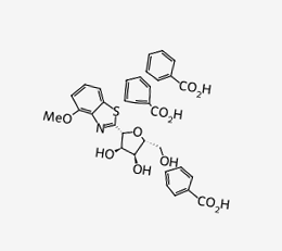 COc1cccc2sc([C@@H]3O[C@H](CO)[C@@H](O)[C@H]3O)nc12.O=C(O)c1ccccc1.O=C(O)c1ccccc1.O=C(O)c1ccccc1